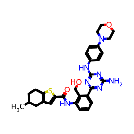 CC1CCc2sc(C(=O)Nc3cccc(-c4nc(N)nc(Nc5ccc(N6CCOCC6)cc5)n4)c3CO)cc2C1